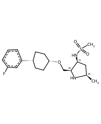 C[C@@H]1C[C@H](NS(C)(=O)=O)[C@H](CO[C@H]2CC[C@@H](c3cccc(F)c3)CC2)N1